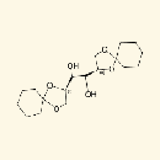 OC(C(O)[C@H]1COC2(CCCCC2)O1)[C@H]1COC2(CCCCC2)O1